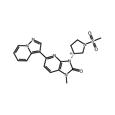 Cn1c(=O)n([C@@H]2CCN(S(C)(=O)=O)C2)c2nc(-c3cnn4ccccc34)ccc21